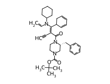 C#C/C(C(=O)N1CCN(C(=O)OC(C)(C)C)C[C@H]1Cc1ccccc1)=C(/C1C=CC=CC1)N(C=C)C1CCCCC1